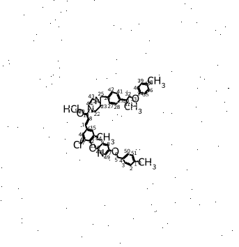 Cc1ccc(COc2ccc(Oc3c(C)cc(C=CC(=O)N4CCN(Cc5ccc(C(C)COc6ccc(C)cc6)cc5)CC4)cc3Cl)nc2)cc1.Cl